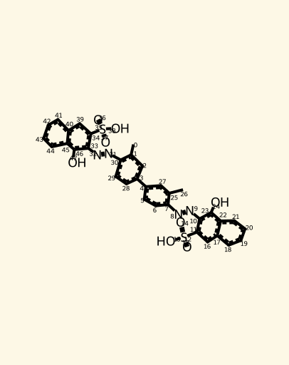 Cc1cc(-c2ccc(/N=N/c3c(S(=O)(=O)O)cc4ccccc4c3O)c(C)c2)ccc1/N=N/c1c(S(=O)(=O)O)cc2ccccc2c1O